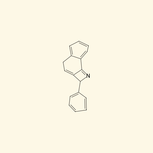 C1=C2C(=NC2c2ccccc2)c2ccccc2C1